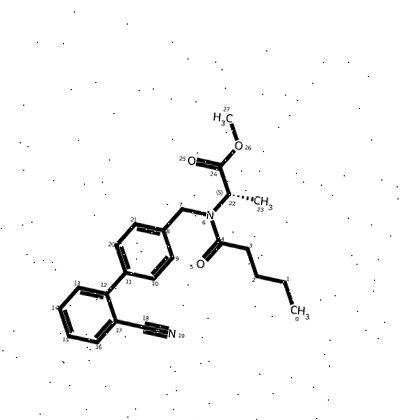 CCCCC(=O)N(Cc1ccc(-c2ccccc2C#N)cc1)[C@@H](C)C(=O)OC